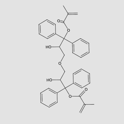 C=C(C)C(=O)OC(c1ccccc1)(c1ccccc1)C(O)COCC(O)C(OC(=O)C(=C)C)(c1ccccc1)c1ccccc1